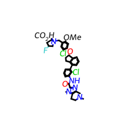 COc1cc(OC2CCc3c(-c4cccc(NC(=O)c5nc6c(n5C)CCN(C)C6)c4Cl)cccc32)c(Cl)cc1CN1CC(F)CC1C(=O)O